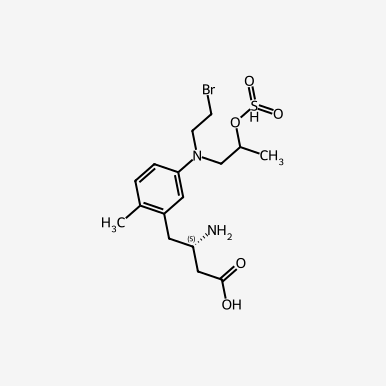 Cc1ccc(N(CCBr)CC(C)O[SH](=O)=O)cc1C[C@H](N)CC(=O)O